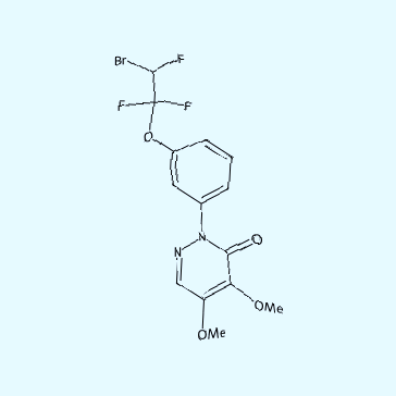 COc1cnn(-c2cccc(OC(F)(F)C(F)Br)c2)c(=O)c1OC